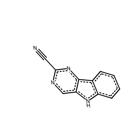 N#Cc1ncc2[nH]c3ccccc3c2n1